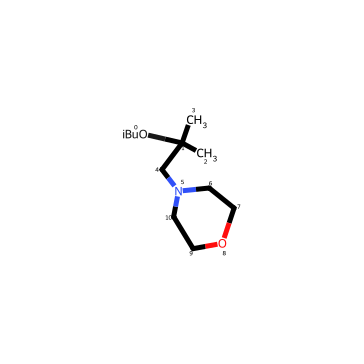 CC(C)COC(C)(C)CN1CCOCC1